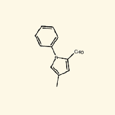 Cc1cc(C=O)n(-c2ccccc2)c1